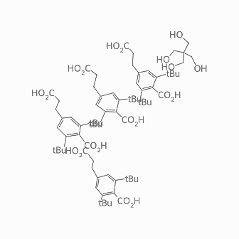 CC(C)(C)c1cc(CCC(=O)O)cc(C(C)(C)C)c1C(=O)O.CC(C)(C)c1cc(CCC(=O)O)cc(C(C)(C)C)c1C(=O)O.CC(C)(C)c1cc(CCC(=O)O)cc(C(C)(C)C)c1C(=O)O.CC(C)(C)c1cc(CCC(=O)O)cc(C(C)(C)C)c1C(=O)O.OCC(CO)(CO)CO